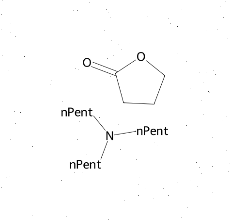 CCCCCN(CCCCC)CCCCC.O=C1CCCO1